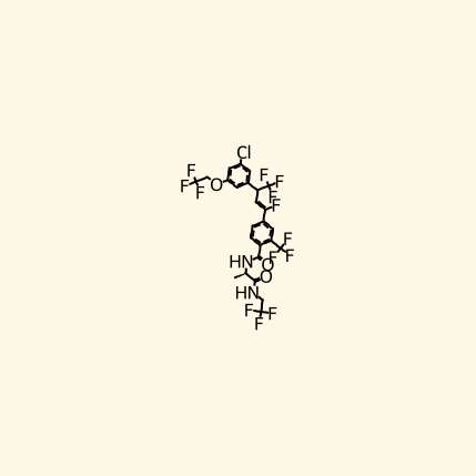 C[C@@H](NC(=O)c1ccc(/C(F)=C/C(c2cc(Cl)cc(OCC(F)(F)F)c2)C(F)(F)F)cc1C(F)(F)F)C(=O)NCC(F)(F)F